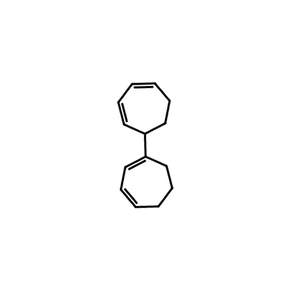 C1=CCCCC(C2C=CC=CCC2)=C1